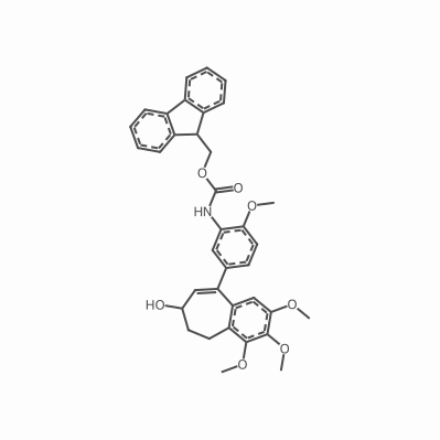 COc1ccc(C2=CC(O)CCc3c2cc(OC)c(OC)c3OC)cc1NC(=O)OCC1c2ccccc2-c2ccccc21